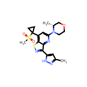 Cc1cc(-c2nsc3c(C4(S(C)(=O)=O)CC4)cc(N4CCOC[C@H]4C)nc23)[nH]n1